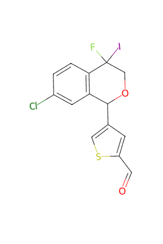 O=Cc1cc(C2OCC(F)(I)c3ccc(Cl)cc32)cs1